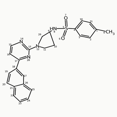 Cc1ccc(S(=O)(=O)NC2CCN(c3nccc(-c4ccc5ccccc5c4)n3)C2)cc1